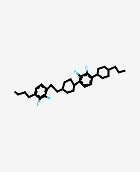 CCCCc1ccc(CCC2CCC(c3ccc(C4CCC(CCC)CC4)c(F)c3F)CC2)c(F)c1F